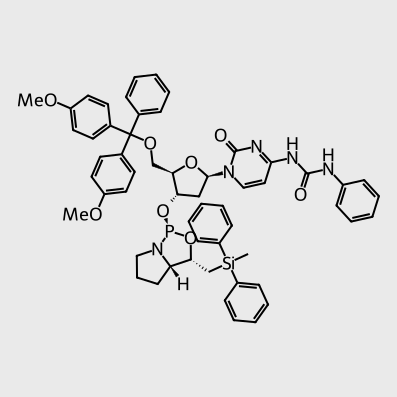 COc1ccc(C(OC[C@H]2O[C@@H](n3ccc(NC(=O)Nc4ccccc4)nc3=O)C[C@@H]2O[P@@]2O[C@H](C[Si](C)(c3ccccc3)c3ccccc3)[C@@H]3CCCN32)(c2ccccc2)c2ccc(OC)cc2)cc1